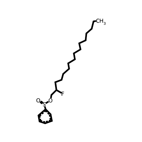 CCCCCCCCCCCCCCC(F)COS(=O)c1ccccc1